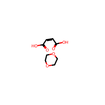 C1COCCO1.O=C(O)/C=C\C(=O)O